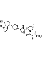 CC(C)C(NC(=O)O)C(=O)N1C[C@@H](C)C[C@H]1c1ncc(-c2ccc(-c3ccc(O)c4c3C3CC[C@H]4C3)cc2)[nH]1